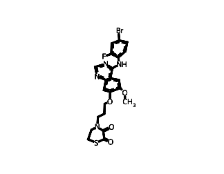 COc1cc2c(Nc3ccc(Br)cc3F)ncnc2cc1OCCCN1CCSC(=O)C1=O